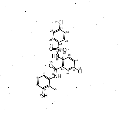 Cc1c(S)cccc1NC(=O)c1cc(Cl)ccc1NS(=O)(=O)c1ccc(Cl)cc1